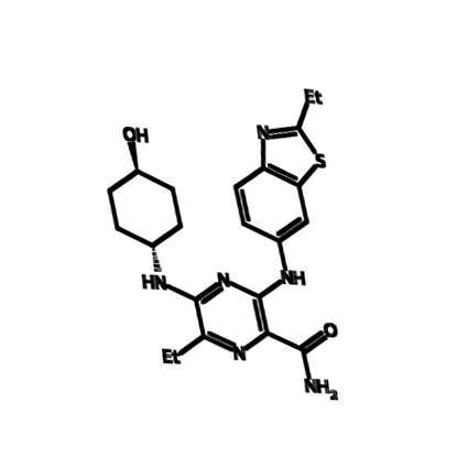 CCc1nc2ccc(Nc3nc(N[C@H]4CC[C@H](O)CC4)c(CC)nc3C(N)=O)cc2s1